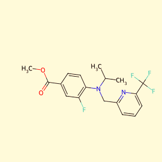 COC(=O)c1ccc(N(Cc2cccc(C(F)(F)F)n2)C(C)C)c(F)c1